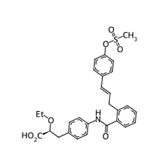 CCO[C@@H](Cc1ccc(NC(=O)c2ccccc2CC=Cc2ccc(OS(C)(=O)=O)cc2)cc1)C(=O)O